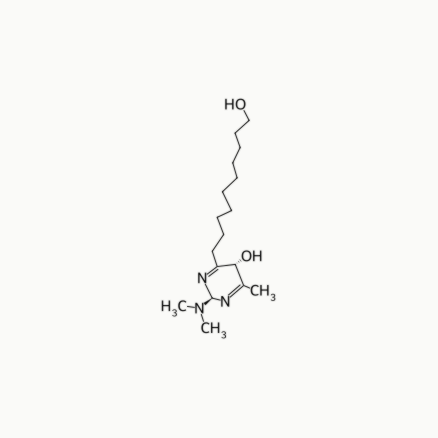 CC1=N[C@@H](N(C)C)N=C(CCCCCCCCCCO)[C@@H]1O